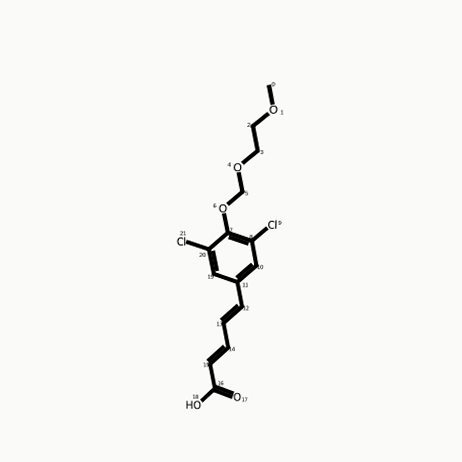 COCCOCOc1c(Cl)cc(/C=C/C=C/C(=O)O)cc1Cl